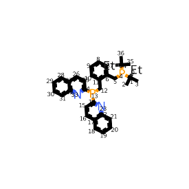 CCC(C)(C)P(Cc1ccccc1CP(c1ccc2ccccc2n1)c1ccc2ccccc2n1)C(C)(C)CC